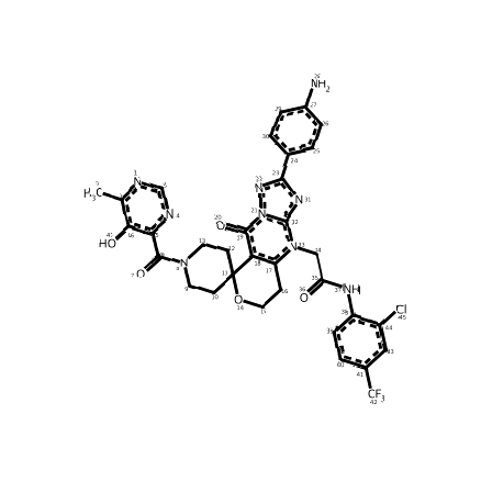 Cc1ncnc(C(=O)N2CCC3(CC2)OCCc2c3c(=O)n3nc(-c4ccc(N)cc4)nc3n2CC(=O)Nc2ccc(C(F)(F)F)cc2Cl)c1O